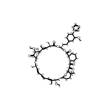 COC1CC(CC[C@@H]2CC(=O)[C@H](C)/C=C(\C)[C@H]3OC(C[C@H](C)/C=C/C=C/C=C(\C)[C@@H](OC)CC4CCC(C)C(O)(O4)C(=O)C(=O)N4CCCCC4C(=O)O2)C(=O)C3OC)CCC1n1ncnn1